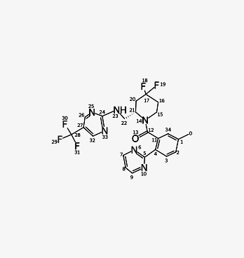 Cc1ccc(-c2ncccn2)c(C(=O)N2CCC(F)(F)C[C@H]2CNc2ncc(C(F)(F)F)cn2)c1